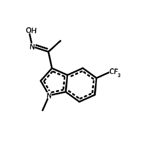 C/C(=N\O)c1cn(C)c2ccc(C(F)(F)F)cc12